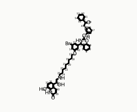 O=C(NC(c1ccccc1)c1cc(Br)cc(OCCCCCCCCCNC[C@@H](O)c2ccc(O)c3[nH]c(=O)ccc23)c1)O[C@H]1C[N+]2(CC(=O)c3ccccc3)CCC1CC2